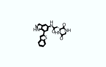 O=C(C[C@H]1NC(=O)CNC1=O)Nc1cc(-c2cc3ccccc3s2)c2[nH]ncc2c1